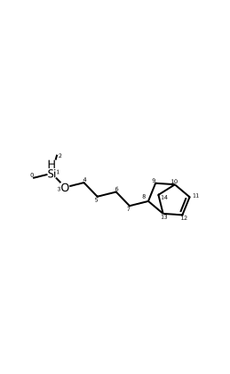 C[SiH](C)OCCCCC1CC2C=CC1C2